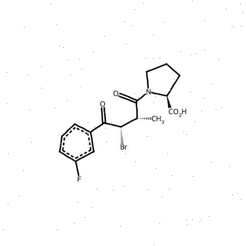 C[C@@H](C(=O)N1CCC[C@H]1C(=O)O)[C@H](Br)C(=O)c1cccc(F)c1